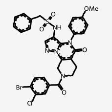 COc1ccc(-n2c(=O)c3c(n4ncc(NS(=O)(=O)Cc5ccccc5)c24)CN(C(=O)c2ccc(Br)c(Cl)c2)CC3)cc1